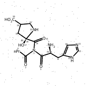 CCCC(=O)N(C(=O)[C@@H](N)Cc1cnc[nH]1)C(=O)[C@]1(O)CC(C(=O)O)CN1